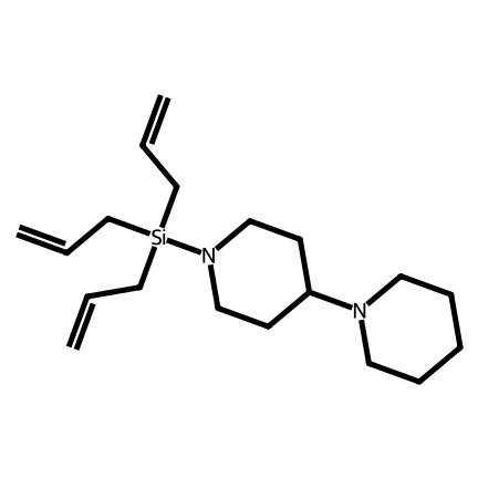 C=CC[Si](CC=C)(CC=C)N1CCC(N2CCCCC2)CC1